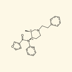 C[C@H]1CN(CCc2ccccc2)CC[C@H]1N(C(=O)c1ccoc1)c1ccccn1